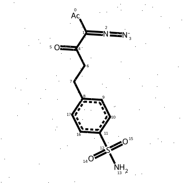 CC(=O)C(=[N+]=[N-])C(=O)CCc1ccc(S(N)(=O)=O)cc1